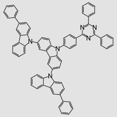 c1ccc(-c2ccc3c(c2)c2ccccc2n3-c2ccc3c(c2)c2cc(-n4c5ccccc5c5cc(-c6ccccc6)ccc54)ccc2n3-c2ccc(-c3nc(-c4ccccc4)nc(-c4ccccc4)n3)cc2)cc1